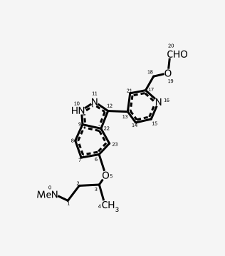 CNCCC(C)Oc1ccc2[nH]nc(-c3ccnc(COC=O)c3)c2c1